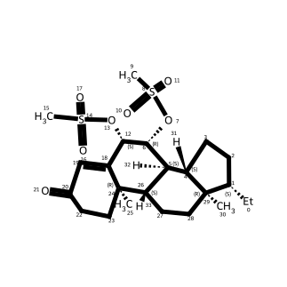 CC[C@H]1CC[C@H]2[C@@H]3[C@@H](OS(C)(=O)=O)[C@@H](OS(C)(=O)=O)C4=CC(=O)CC[C@]4(C)[C@H]3CC[C@]12C